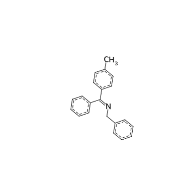 Cc1ccc(C(=NCc2ccccc2)c2ccccc2)cc1